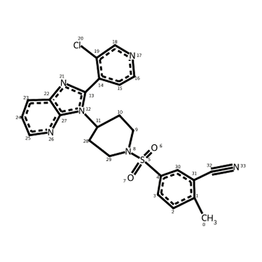 Cc1ccc(S(=O)(=O)N2CCC(n3c(-c4ccncc4Cl)nc4cccnc43)CC2)cc1C#N